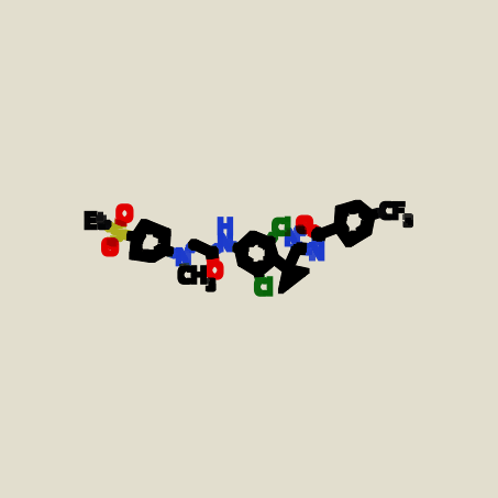 CCS(=O)(=O)c1ccc(N(C)CC(=O)Nc2cc(Cl)c(C3(c4noc(-c5ccc(C(F)(F)F)cc5)n4)CC3)c(Cl)c2)cc1